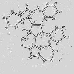 CC[Si]1(C)C(c2c(C)sc3ccccc23)=C(c2ccccc2)C(c2ccccc2)=C1c1c(C)sc2ccccc12